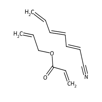 C=CC=CC=CC#N.C=CCOC(=O)C=C